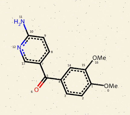 COc1ccc(C(=O)c2ccc(N)nc2)cc1OC